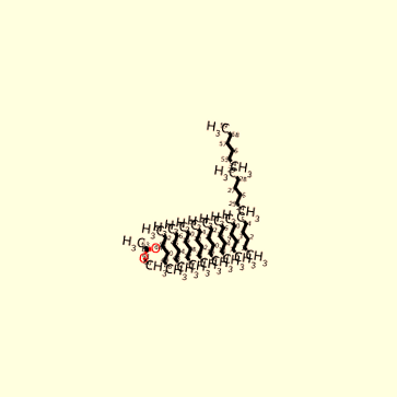 CCCCCC.CCCCCC.CCCCCC.CCCCCC.CCCCCC.CCCCCC.CCCCCC.CCCCCC.CCCCCC.CCCCCC.COC(C)=O